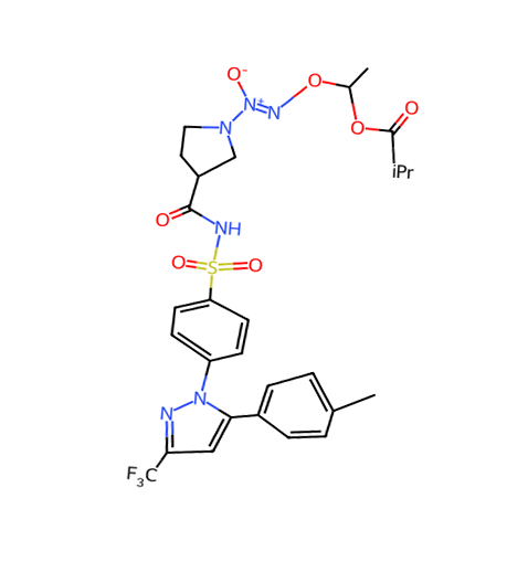 Cc1ccc(-c2cc(C(F)(F)F)nn2-c2ccc(S(=O)(=O)NC(=O)C3CCN([N+]([O-])=NOC(C)OC(=O)C(C)C)C3)cc2)cc1